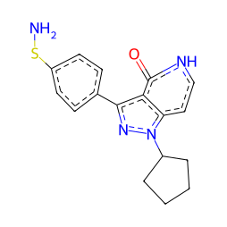 NSc1ccc(-c2nn(C3CCCC3)c3cc[nH]c(=O)c23)cc1